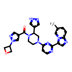 O=C(c1cnn(C2COC2)c1)N1CCN(c2ccnc(-c3cnc4ccc(C(F)(F)F)cn34)n2)CC1c1cn[nH]c1